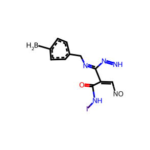 Bc1ccc(CN=C(N=N)/C(=C/N=O)C(=O)NI)cc1